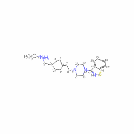 O=C(O)NCC1CCC(CCN2CCN(c3nsc4ccccc34)CC2)CC1